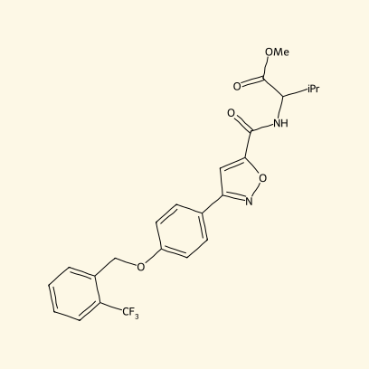 COC(=O)C(NC(=O)c1cc(-c2ccc(OCc3ccccc3C(F)(F)F)cc2)no1)C(C)C